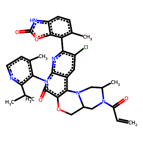 C=CC(=O)N1CC2COc3c(c4cc(Cl)c(-c5c(C)ccc6[nH]c(=O)oc56)nc4n(-c4c(C)ccnc4C(C)C)c3=O)N2CC1C